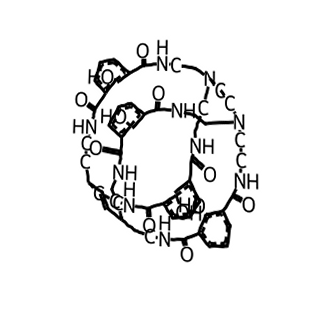 O=C1NCCC2/C=C/C3CCNC(=O)c4cccc(c4O)C(=O)NCCN(CCNC(=O)c4cccc(c4O)C(=O)NCC3)CCN(CCNC(=O)c3cccc1c3O)CCNC(=O)c1cccc(c1O)C(=O)NCC2